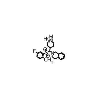 Cc1ccc(F)cc1S(=O)(=O)C(C1CCNCC1)N1CCc2ccccc2C1.Cl